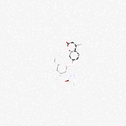 CC(=O)OC[C@H]1O[C@@H](Oc2ccc3c(C)cc(=O)oc3c2)[C@H](NC(=O)C(F)(F)F)[C@@H](OC(C)=O)[C@@H]1OC(C)=O